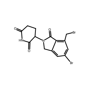 O=C1CCC(N2Cc3cc(Br)cc(CBr)c3C2=O)C(=O)N1